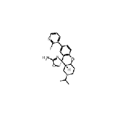 CC(C)N1CCC2Oc3ccc(-c4cccnc4F)cc3[C@@]3(COC(N)=N3)[C@H]2C1